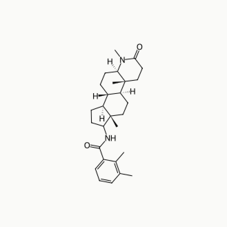 Cc1cccc(C(=O)NC2CC[C@H]3[C@@H]4CC[C@H]5N(C)C(=O)CC[C@]5(C)[C@H]4CC[C@]23C)c1C